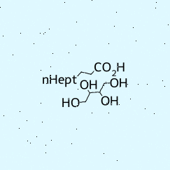 CCCCCCCCCC(=O)O.OCC(O)C(O)CO